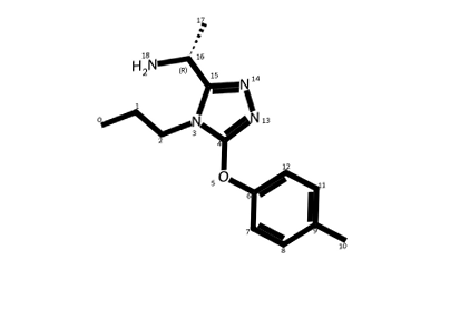 CCCn1c(Oc2ccc(C)cc2)nnc1[C@@H](C)N